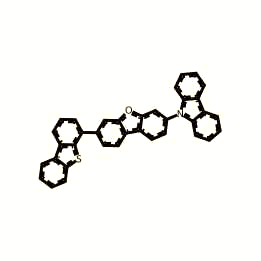 c1ccc2c(c1)sc1c(-c3ccc4c(c3)oc3cc(-n5c6ccccc6c6ccccc65)ccc34)cccc12